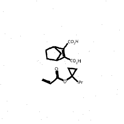 C=CC(=O)OC1(C(C)C)CC1.O=C(O)C1=C(C(=O)O)C2CCC1C2